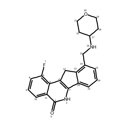 O=c1[nH]c2c(c3c(F)cccc13)Cc1c(CNC3CCOCC3)cccc1-2